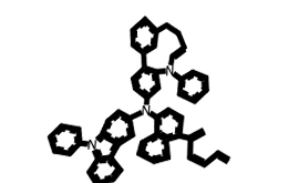 C=C/C=C\C(=C)c1ccc(N(c2ccc3c(c2)N(c2ccccc2)/C=C/CCc2cccc-3c2)c2ccc3c(c2)c2ccccc2n3-c2ccccc2)c2ccccc12